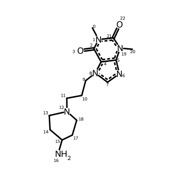 Cn1c(=O)c2c(ncn2CCCN2CCC(N)CC2)n(C)c1=O